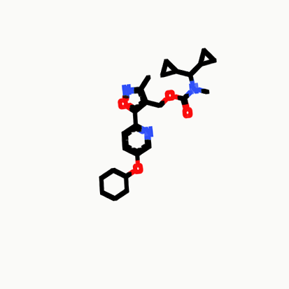 Cc1noc(-c2ccc(OC3CCCCC3)cn2)c1COC(=O)N(C)C(C1CC1)C1CC1